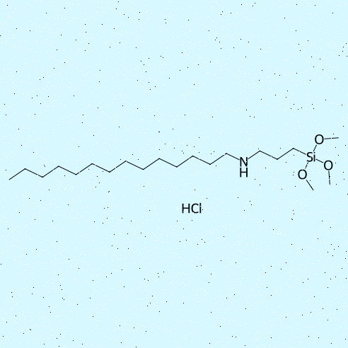 CCCCCCCCCCCCCCNCCC[Si](OC)(OC)OC.Cl